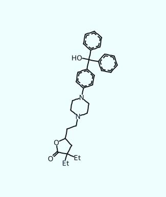 CCC1(CC)CC(CCN2CCN(c3ccc(C(O)(c4ccccc4)c4ccccc4)cc3)CC2)OC1=O